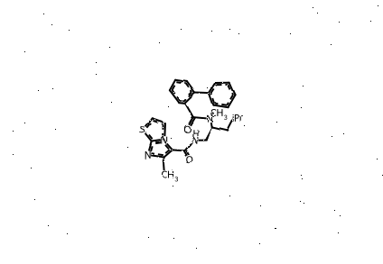 Cc1nc2sccn2c1C(=O)NC[C@H](CC(C)C)N(C)C(=O)c1ccccc1-c1ccccc1